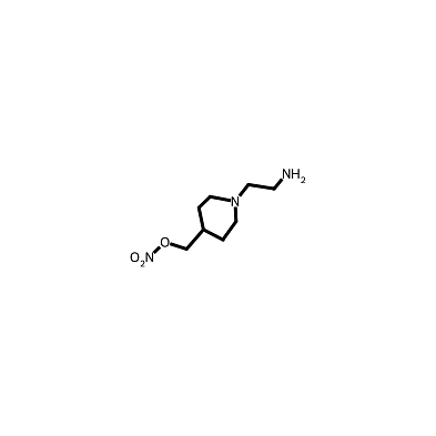 NCCN1CCC(CO[N+](=O)[O-])CC1